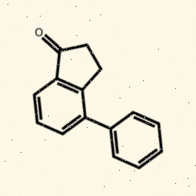 O=C1CCc2c1cccc2-c1ccccc1